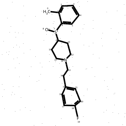 Cc1ccccc1[S+]([O-])C1CCN(CCc2ccc(F)cc2)CC1